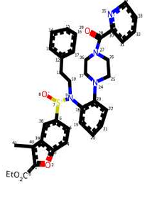 CCOC(=O)c1oc2ccc([S+]([O-])N(CCc3ccccc3)c3ccccc3N3CCN(C(=O)c4ccccn4)CC3)cc2c1C